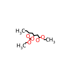 CCCCC(CC(=O)OCC)OC(=O)OCC